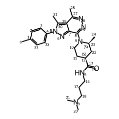 Cc1ccc(-n2nc3c(N4CC[C@H](C(=O)NCCCN(C)C)C[C@@H]4C)nnc(C)c3c2C)cc1